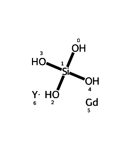 O[Si](O)(O)O.[Gd].[Y]